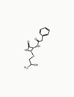 CC(O)CS[C@H]1NC(=O)[C@H]1NC(=O)Cc1ccccc1